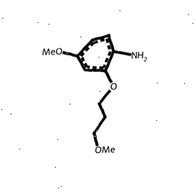 COCCCOc1cc(OC)ccc1N